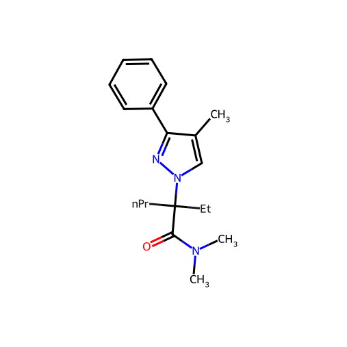 CCCC(CC)(C(=O)N(C)C)n1cc(C)c(-c2ccccc2)n1